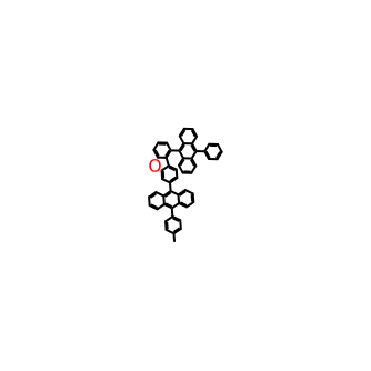 Cc1ccc(-c2c3ccccc3c(-c3ccc4c(c3)oc3cccc(-c5c6ccccc6c(-c6ccccc6)c6ccccc56)c34)c3ccccc23)cc1